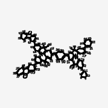 CC1(C)c2cc(-c3ccccc3)ccc2N2c3ccc(-c4ccccc4)cc3C(C)(C)c3cc(-c4ccc(-c5cc6c7c(c5)C(C)(C)c5cc(-c8ccc9oc%10ccccc%10c9c8)ccc5N7c5ccc(-c7ccc8oc9ccccc9c8c7)cc5C6(C)C)cc4)cc1c32